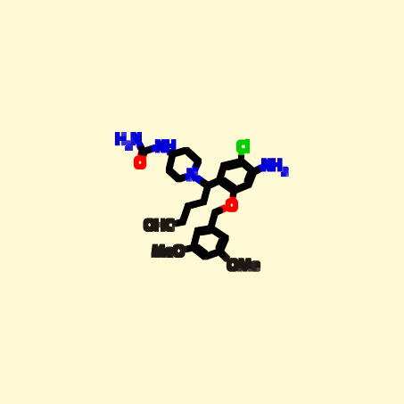 COc1cc(COc2cc(N)c(Cl)cc2C(CCCC=O)N2CCC(NC(N)=O)CC2)cc(OC)c1